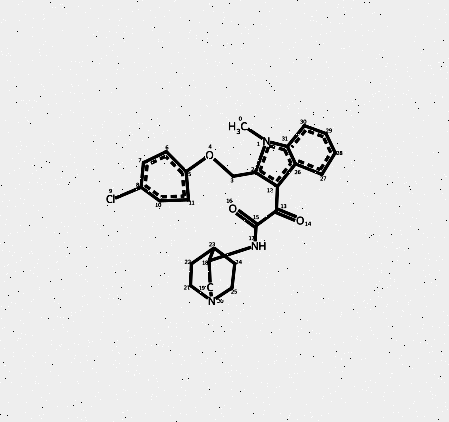 Cn1c(COc2ccc(Cl)cc2)c(C(=O)C(=O)NC2CN3CCC2CC3)c2ccccc21